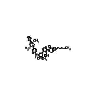 CCCCCc1cc2n(c1)CCN(c1nccc(-c3cc(Nc4ccc(N5C[C@@H](C)N(C6COC6)C[C@@H]5C)cn4)c(=O)n(C)c3)c1CO)C2=O